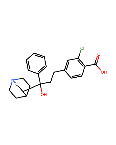 O=C(O)c1ccc(CCC(O)(c2ccccc2)C2CN3CCC2CC3)cc1Cl